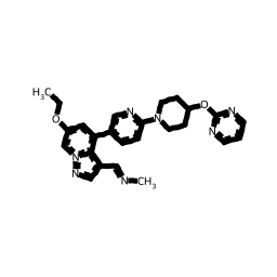 CCOc1cc(-c2ccc(N3CCC(Oc4ncccn4)CC3)nc2)c2c(/C=N/C)cnn2c1